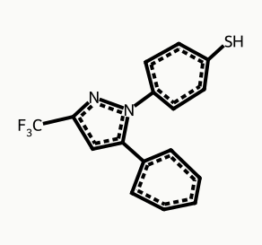 FC(F)(F)c1cc(-c2ccccc2)n(-c2ccc(S)cc2)n1